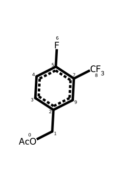 CC(=O)OCc1ccc(F)c(C(F)(F)F)c1